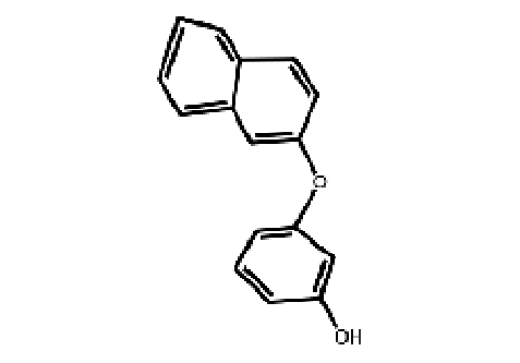 Oc1cccc(Oc2ccc3ccccc3c2)c1